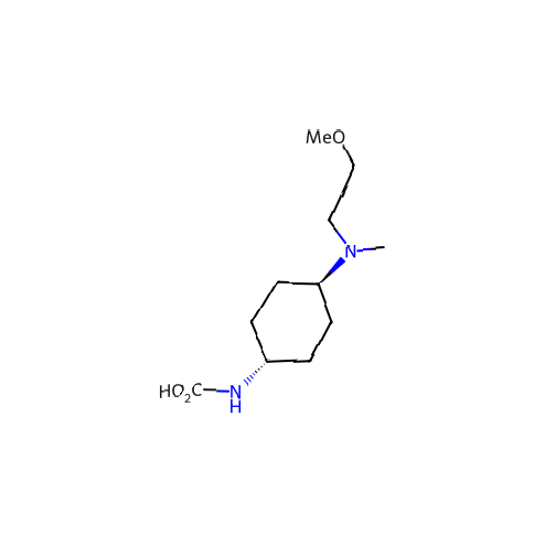 COCCN(C)[C@H]1CC[C@H](NC(=O)O)CC1